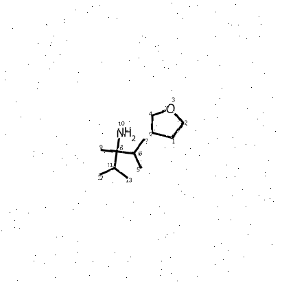 C1CCOC1.CC(C)C(C)(N)C(C)C